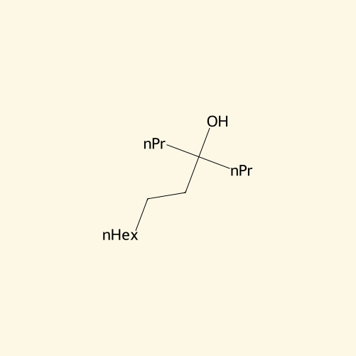 CCCCCCCCC(O)(CCC)CCC